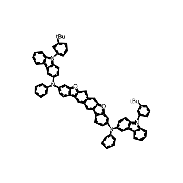 CC(C)(C)c1cccc(-n2c3ccccc3c3cc(N(c4ccccc4)c4ccc5c(c4)oc4cc6cc7oc8cc(N(c9ccccc9)c9ccc%10c(c9)c9ccccc9n%10-c9cccc(C(C)(C)C)c9)ccc8c7cc6cc45)ccc32)c1